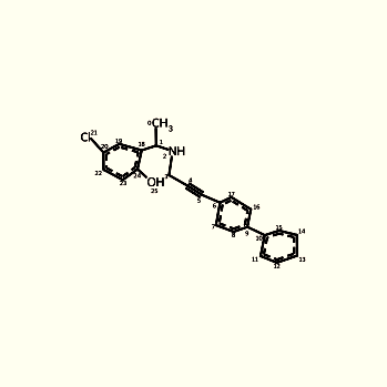 CC(NCC#Cc1ccc(-c2ccccc2)cc1)c1cc(Cl)ccc1O